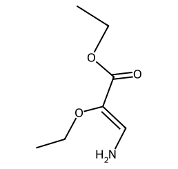 CCOC(=O)C(=CN)OCC